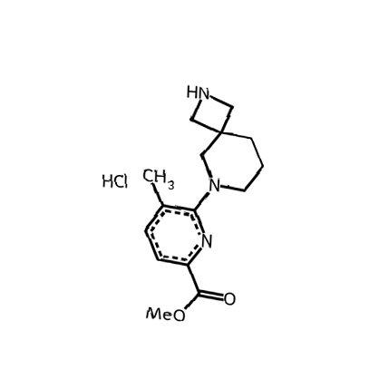 COC(=O)c1ccc(C)c(N2CCCC3(CNC3)C2)n1.Cl